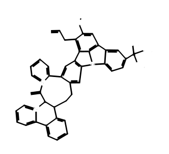 C=CCc1c(OC)cc2c3cc(C(C)(C)C)ccc3n3c4cc5c(cc4c1c23)-c1cccc[n+]1C(=C)C1C(CC5)c2ccccc2-c2cccc[n+]21